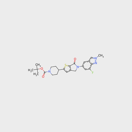 Cn1cc2cc(N3Cc4cc(C5CCN(C(=O)OC(C)(C)C)CC5)sc4C3=O)cc(F)c2n1